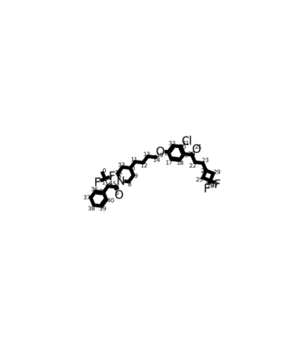 CC(F)(F)[C@H](C(=O)N1CCC(CCCCOc2ccc(C(=O)CCC3CC(F)(F)C3)c(Cl)c2)CC1)C1=CCCC=C1